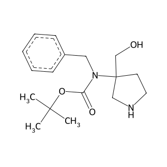 CC(C)(C)OC(=O)N(Cc1ccccc1)C1(CO)CCNC1